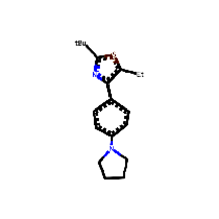 CCc1sc(C(C)(C)C)nc1-c1ccc(N2CCCC2)cc1